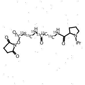 C[13CH](C)N1CCCC1C(=O)[15NH][13CH2][13CH2][13C](=O)[15NH][13CH2][13CH2][13C](=O)ON1C(=O)CCC1=O